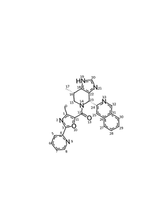 Cc1nc(-c2ccccn2)oc1C(=O)N1C[C@H](C)c2[nH]cnc2[C@@H]1c1cc2ccccc2cn1